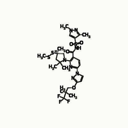 CSS[C@@]1(C)CN(c2nc(-n3ccc(OCC(C)(C)C(F)(F)F)n3)ccc2C(=O)NS(=O)(=O)c2cn(C)nc2C)C(C)(C)C1